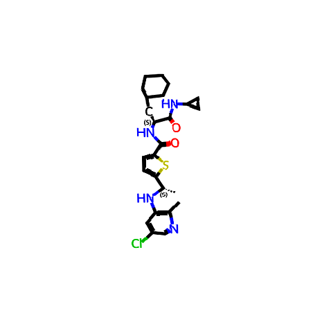 Cc1ncc(Cl)cc1N[C@@H](C)c1ccc(C(=O)N[C@@H](CC2CCCCC2)C(=O)NC2CC2)s1